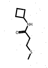 CSCCC(=O)NC1CCC1